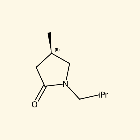 CC(C)CN1C[C@H](C)CC1=O